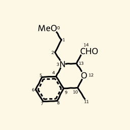 COCCN1c2ccccc2C(C)OC1C=O